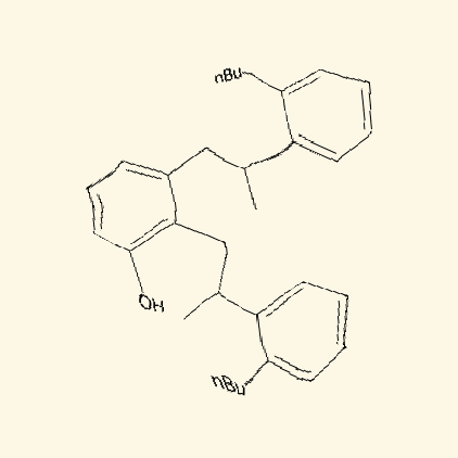 CCCCc1ccccc1C(C)Cc1cccc(O)c1CC(C)c1ccccc1CCCC